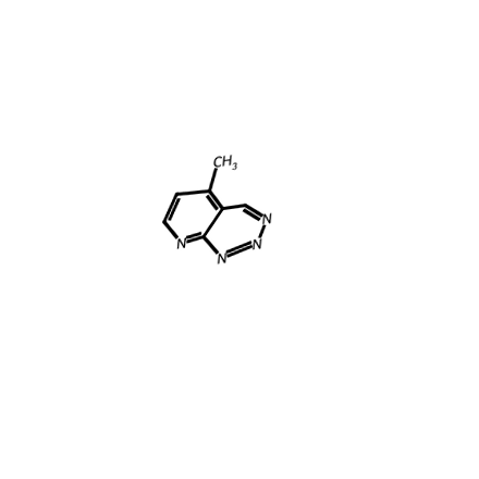 Cc1ccnc2nnncc12